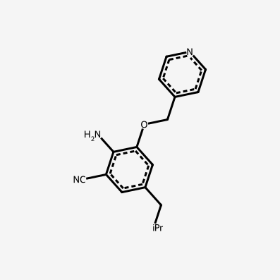 CC(C)Cc1cc(C#N)c(N)c(OCc2ccncc2)c1